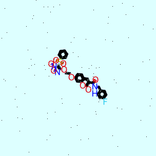 O=C(NCc1ccc(F)cc1)c1cc2ccc(OCCOc3no[n+]([O-])c3S(=O)(=O)c3ccccc3)cc2oc1=O